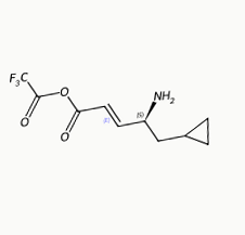 N[C@H](/C=C/C(=O)OC(=O)C(F)(F)F)CC1CC1